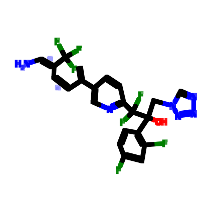 C=C(/C=C\C(=C/N)C(F)(F)F)c1ccc(C(F)(F)C(O)(Cn2cnnn2)c2ccc(F)cc2F)nc1